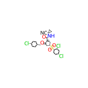 N#CC1(NC(=O)[C@H]2CC(S(=O)(=O)c3ccc(Cl)cc3Cl)C[C@@H]2OCc2ccc(Cl)cc2)CC1